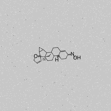 CC[C@]12CCC3C(CCC4=CC(=NO)CC[C@@H]43)C1C1CC1[C@@]21C=CCO1